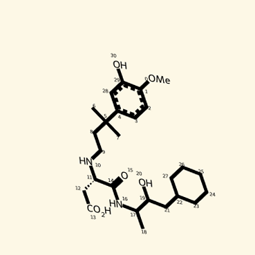 COc1ccc(C(C)(C)CCN[C@@H](CC(=O)O)C(=O)NC(C)C(O)CC2CCCCC2)cc1O